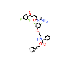 C=C(N)N(C(=O)/C=C\CC(=O)c1ccc(F)cc1F)c1c(F)cc(OCCCN[C@@H](C(=O)OC=C=C2CC3CCC2C3)c2ccccc2)cc1F